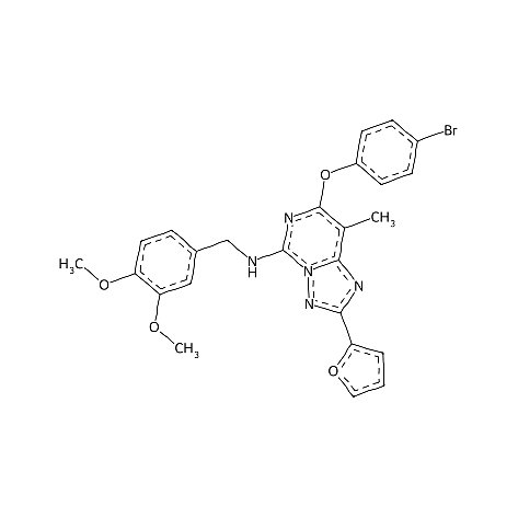 COc1ccc(CNc2nc(Oc3ccc(Br)cc3)c(C)c3nc(-c4ccco4)nn23)cc1OC